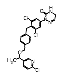 CC(OCc1ccc(Cc2c(Cl)cc(N3N=CCNC3=O)cc2Cl)cc1)c1ccc(Cl)nc1